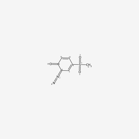 CS(=O)(=O)C1=CC(=[N+]=[N-])C(=O)C=C1